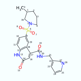 CC1CCCN(S(=O)(=O)c2ccc3[nH]c(=O)cc(C(=O)NCc4cccnc4)c3c2)C1